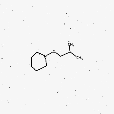 C[C](C)CON1CCCCC1